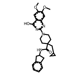 COc1cc2nc(N3CCC(CC4CC4)(C(=O)NC4Cc5ccccc5C4)CC3)nc(O)c2cc1OC